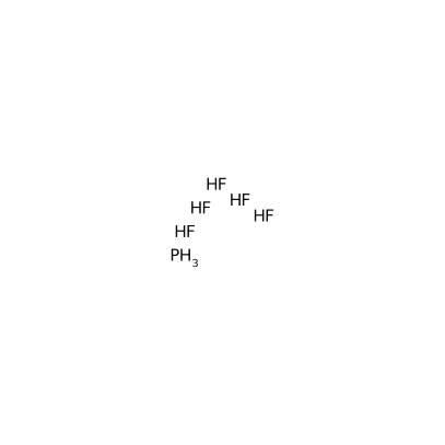 F.F.F.F.F.P